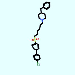 O=S(=O)(CCCCCCN1CCC(Cc2ccccc2)CC1)C1=CCC(c2ccc(Cl)cc2)C=C1